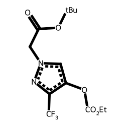 CCOC(=O)Oc1cn(CC(=O)OC(C)(C)C)nc1C(F)(F)F